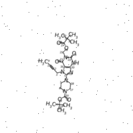 CC#CCn1c(N2CCN(C(=O)OC(C)(C)C)CC2)nc2[nH]c(=O)n(COC(=O)C(C)(C)C)c(=O)c21